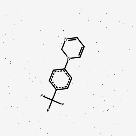 FC(F)(F)c1ccc(N2C=CC=NC2)cc1